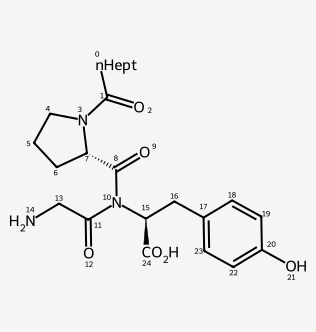 CCCCCCCC(=O)N1CCC[C@H]1C(=O)N(C(=O)CN)[C@@H](Cc1ccc(O)cc1)C(=O)O